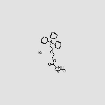 O=C1NC(C(=O)OCCOCC[P+](c2ccccc2)(c2ccccc2)c2ccccc2)CS1.[Br-]